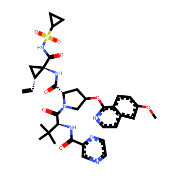 C=C[C@@H]1C[C@]1(NC(=O)[C@@H]1CC(Oc2nccc3cc(OC)ccc23)CN1C(=O)[C@@H](NC(=O)c1cnccn1)C(C)(C)C)C(=O)NS(=O)(=O)C1CC1